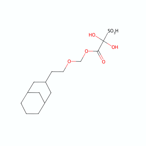 O=C(OCOCCC1CC2CCCC(C2)C1)C(O)(O)S(=O)(=O)O